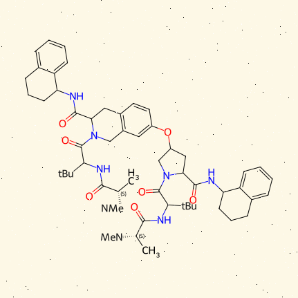 CN[C@@H](C)C(=O)NC(C(=O)N1Cc2cc(OC3CC(C(=O)NC4CCCc5ccccc54)N(C(=O)C(NC(=O)[C@H](C)NC)C(C)(C)C)C3)ccc2CC1C(=O)NC1CCCc2ccccc21)C(C)(C)C